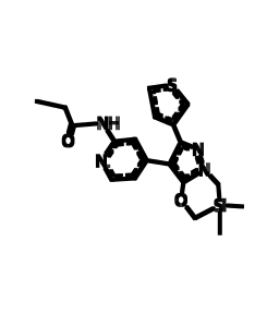 CCC(=O)Nc1cc(-c2c(-c3ccsc3)nn3c2OC[Si](C)(C)C3)ccn1